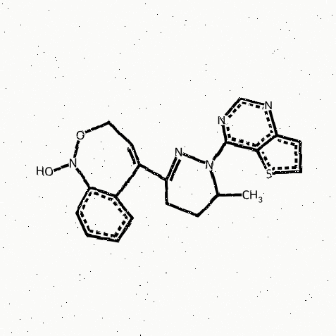 CC1CCC(C2=CCON(O)c3ccccc32)=NN1c1ncnc2ccsc12